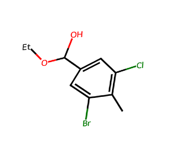 CCOC(O)c1cc(Cl)c(C)c(Br)c1